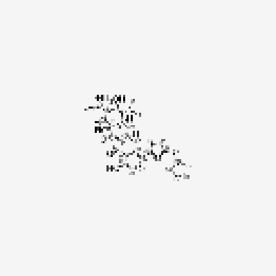 CN(C)[C@H]1C(O)=C(C(N)=O)C(=O)[C@@]2(O)C(O)=C3C(=O)c4c(O)ccc(-c5ccc(CN6CCCC6)o5)c4C[C@@H]3C[C@@H]12